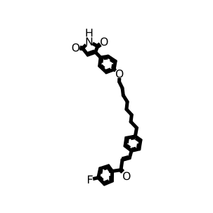 O=C1C=C(c2ccc(OCCCCCCCCc3ccc(C=CC(=O)c4ccc(F)cc4)cc3)cc2)C(=O)N1